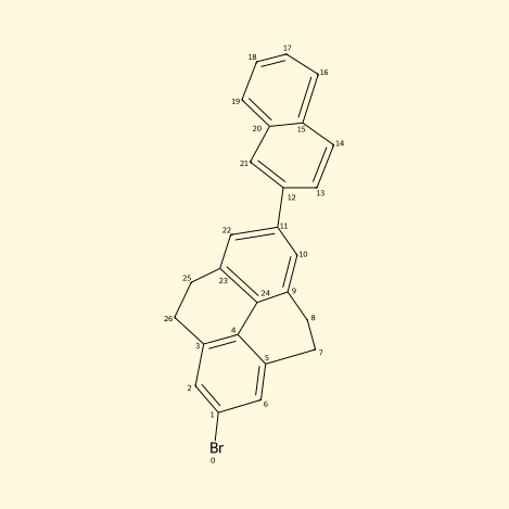 Brc1cc2c3c(c1)CCc1cc(-c4ccc5ccccc5c4)cc(c1-3)CC2